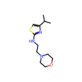 CC(C)c1csc(NCCN2CCOCC2)n1